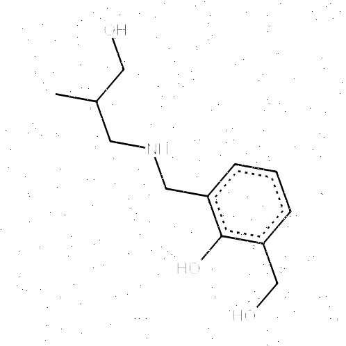 CC(CO)CNCc1cccc(CO)c1O